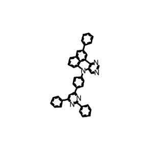 c1ccc(-c2cc3c4c(cccc4c2)N(c2ccc(-c4cc(-c5ccccc5)nc(-c5ccccc5)n4)cc2)c2cncnc2-3)cc1